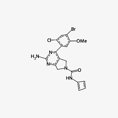 COc1cc(-c2nc(N)nc3c2CN(C(=O)NC2=CC=C2)C3)c(Cl)cc1Br